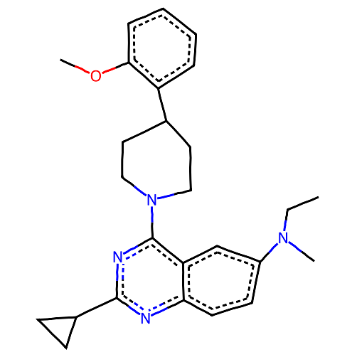 CCN(C)c1ccc2nc(C3CC3)nc(N3CCC(c4ccccc4OC)CC3)c2c1